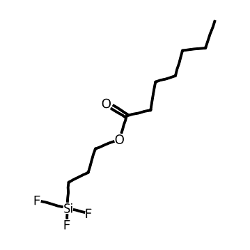 CCCCCCC(=O)OCCC[Si](F)(F)F